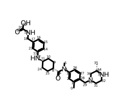 Cc1cc(N(C)C(=O)[C@H]2CC[C@H](Nc3cccc(CNC(=O)O)c3)CC2)ccc1CN1CCN[C@@H](C)C1